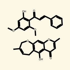 CC1=CCc2c(cc3oc(C)cc(=O)c3c2O)OC1.COc1cc(O)c(C(=O)C=Cc2ccccc2)c(OC)c1